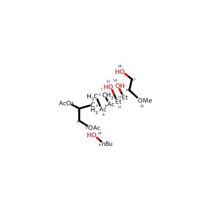 CC(=O)OCC(C)OC(C)=O.CC(C)=O.CC(C)=O.CCCCO.CCO.CCO.COCCO